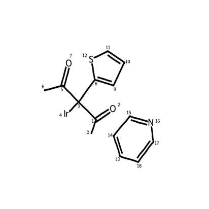 CC(=O)[C]([Ir])(C(C)=O)c1cccs1.c1ccncc1